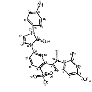 CCc1nc(C(F)(F)F)cc2nc(-c3nc(-n4ncn(-c5ccc(O)cc5)c4=O)ccc3S(=O)(=O)CC)n(C)c12